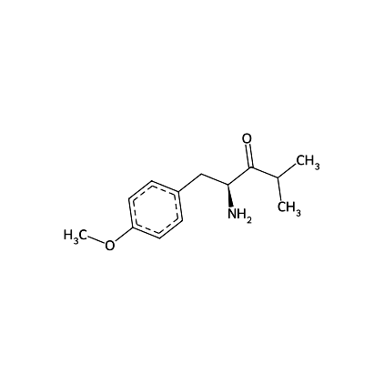 COc1ccc(C[C@H](N)C(=O)C(C)C)cc1